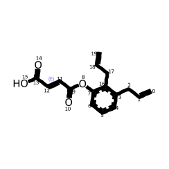 C=CCc1cccc(OC(=O)/C=C/C(=O)O)c1CC=C